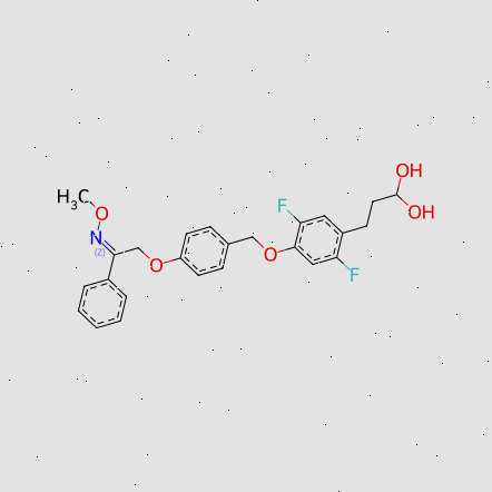 CO/N=C(\COc1ccc(COc2cc(F)c(CCC(O)O)cc2F)cc1)c1ccccc1